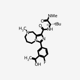 C=C(O)c1cc(-c2nc(C(=O)N[C@H](C(=O)NC)C(C)(C)C)c3n2CCCN(C)C3)ccc1F